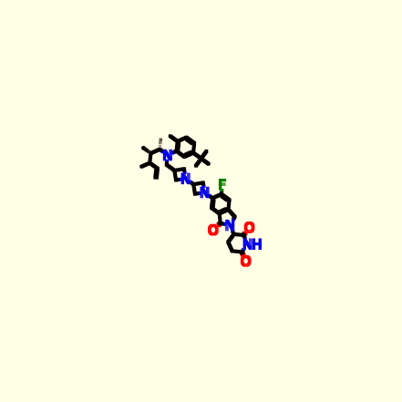 C=CC(C)[C@@H](C)[C@H](C)N(CC1CN(C2CN(c3cc4c(cc3F)CN(C3CCC(=O)NC3=O)C4=O)C2)C1)c1cc(C(C)(C)C)ccc1C